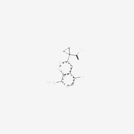 CNc1ncc(Br)c2cc(C3(C(N)=O)CC3)nnc12